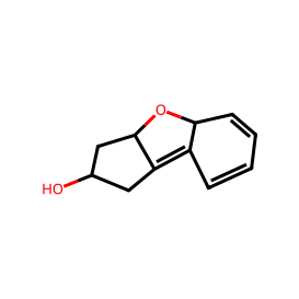 OC1CC2=C3C=CC=CC3OC2C1